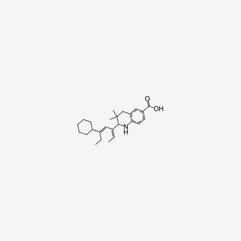 C/C=C(\C=C(/CC)C1CCCCC1)C1Nc2ccc(C(=O)O)cc2CC1(C)C